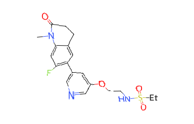 CCS(=O)(=O)NCCOc1cncc(-c2cc3c(cc2F)N(C)C(=O)CC3)c1